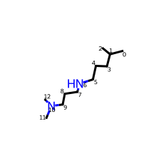 CC(C)CCCNCCCN(C)C